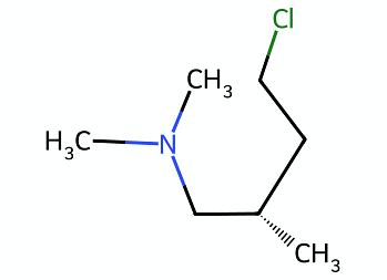 C[C@@H](CCCl)CN(C)C